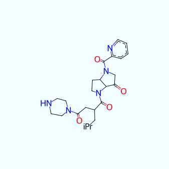 CC(C)CC(CC(=O)N1CCNCC1)C(=O)N1CCC2C1C(=O)CN2C(=O)c1ccccn1